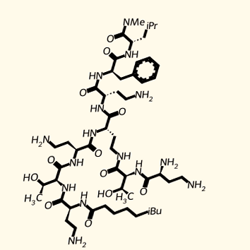 CCC(C)CCCCC(=O)N[C@@H](CCN)C(=O)N[C@H](C(=O)N[C@@H](CCN)C(=O)N[C@@H](CCNC(=O)[C@@H](NC(=O)[C@@H](N)CCN)[C@@H](C)O)C(=O)N[C@@H](CCN)C(=O)N[C@H](Cc1ccccc1)C(=O)N[C@@H](CC(C)C)C(=O)NC)[C@@H](C)O